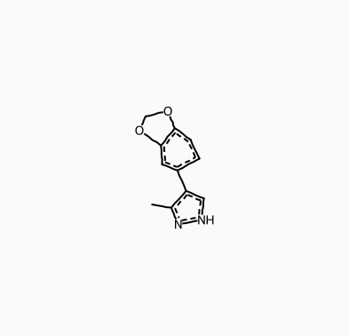 Cc1n[nH]cc1-c1ccc2c(c1)OCO2